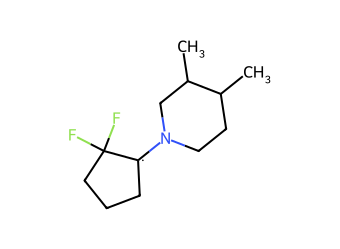 CC1CCN([C]2CCCC2(F)F)CC1C